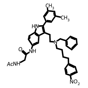 CC(=O)NCC(=O)Nc1ccc2[nH]c(-c3cc(C)cc(C)c3)c(CCN(CCCCc3ccc([N+](=O)[O-])cc3)Cc3ccccc3)c2c1